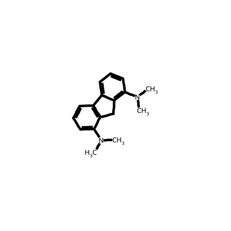 CN(C)c1cccc2c1Cc1c-2cccc1N(C)C